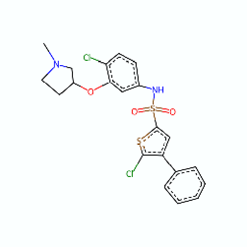 CN1CCC(Oc2cc(NS(=O)(=O)c3cc(-c4ccccc4)c(Cl)s3)ccc2Cl)C1